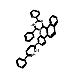 N=C(/C=C\C(=N)c1ccc(-c2ccc3ccccc3c2C2N=C(c3ccccc3)NC(c3ccccc3)N2)cc1)c1ccccc1